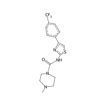 CN1CCN(C(=O)Nc2nc(-c3ccc(C(F)(F)F)cc3)cs2)CC1